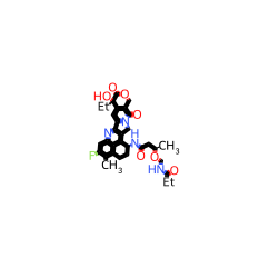 CCC(=O)NCO[C@@H](C)CC(=O)N[C@H]1CCc2c(C)c(F)cc3nc4c(c1c23)Cn1c-4cc2c(c1=O)COC(=O)[C@]2(O)CC